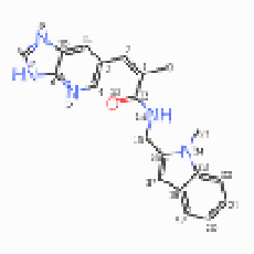 CC(=Cc1cnc2[nH]cnc2c1)C(=O)NCc1cc2ccccc2n1C